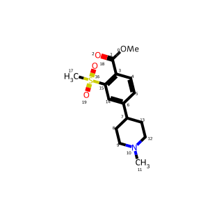 COC(=O)c1ccc(C2CCN(C)CC2)cc1S(C)(=O)=O